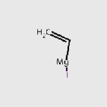 C=[CH][Mg][I]